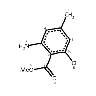 COC(=O)c1c(N)cc(C)cc1Cl